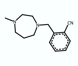 CN1CCCN(Cc2ccccc2C#N)CC1